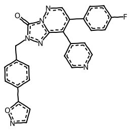 O=c1n(Cc2ccc(-c3ccno3)cc2)nc2c(-c3ccncc3)c(-c3ccc(F)cc3)cnn12